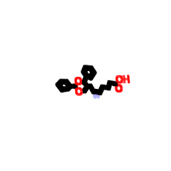 O=C(O)CCC/C=C\CC1COC(c2ccccc2)OC1c1ccccc1